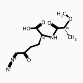 CO[C@H](C)C(=O)N[C@@H](CCC(=O)C=[N+]=[N-])C(=O)O